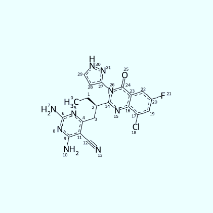 CC[C@H](Cc1nc(N)nc(N)c1C#N)c1nc2c(Cl)cc(F)cc2c(=O)n1-c1cc[nH]n1